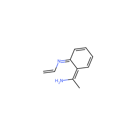 C=C/N=C1/C=CC=C/C1=C(\C)N